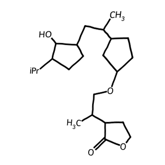 CC(C)C1CCC(CC(C)C2CCC(OCC(C)C3CCOC3=O)C2)C1O